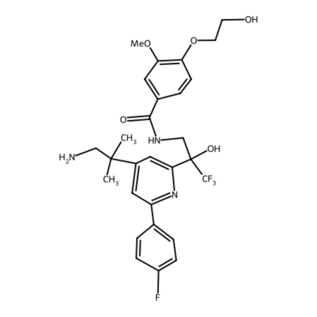 COc1cc(C(=O)NCC(O)(c2cc(C(C)(C)CN)cc(-c3ccc(F)cc3)n2)C(F)(F)F)ccc1OCCO